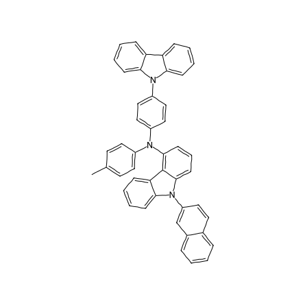 Cc1ccc(N(c2ccc(-n3c4ccccc4c4ccccc43)cc2)c2cccc3c2c2ccccc2n3-c2ccc3ccccc3c2)cc1